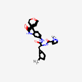 CC1CCC2C(CC(NC(=O)c3ccnn3C)C(=O)Nc3ccc4c(c3)NC(=O)C43CCOCC3)C12